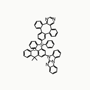 CC1(C)c2ccccc2Oc2c1cc(-n1c3ccccc3n3c4ccccc4nc13)cc2[Si](c1ccccc1)(c1ccccc1)c1ccc2c(c1)-c1ccccc1-c1cncnc1-c1ccccc1-2